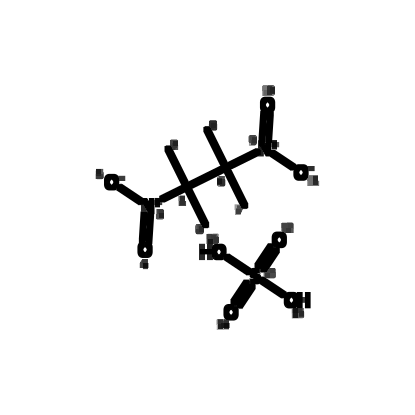 CC(C)([N+](=O)[O-])C(C)(C)[N+](=O)[O-].O=S(=O)(O)O